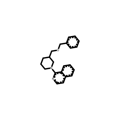 c1ccc(COCC2CCCN(c3nccc4ccccc34)C2)cc1